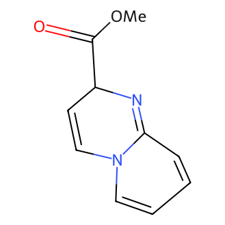 COC(=O)C1C=CN2C=CC=CC2=N1